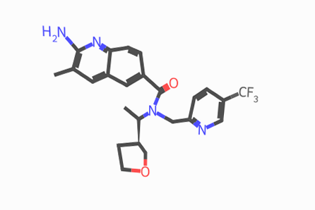 Cc1cc2cc(C(=O)N(Cc3ccc(C(F)(F)F)cn3)C(C)[C@@H]3CCOC3)ccc2nc1N